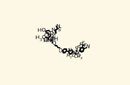 CC(C)(C)[C@H](NC(O)COCCCCOc1ccc(-c2ccc(N3C(=S)N(c4ccc(C#N)c(C(F)(F)F)c4F)C(=O)C3(C)C)cn2)cc1)C(=O)N1C[C@H](O)C[C@H]1c1nc(-c2cncs2)c[nH]1